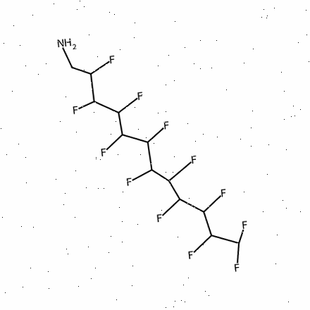 NCC(F)C(F)C(F)C(F)C(F)C(F)C(F)C(F)C(F)C(F)C(F)F